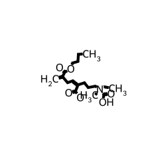 C=C(CC=C(CCC[N+](C)(CC)C(=O)O)C(=O)[O-])C(=O)OCCCC